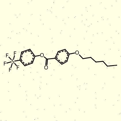 CCCCCCOc1ccc(C(=O)Oc2ccc(S(F)(F)(F)(F)F)cc2)cc1